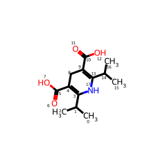 CC(C)C1=C(C(=O)O)CC(C(=O)O)=C(C(C)C)N1